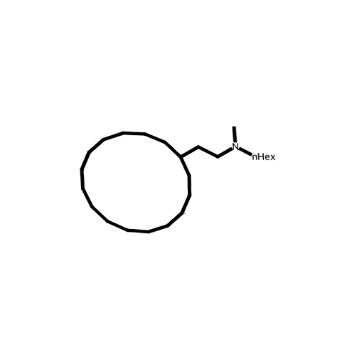 CCCCCCN(C)CCC1CC[CH]CCCCCCCCCCCC1